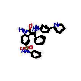 O=C1Nc2ccc(S(=O)(=O)Nc3ccccc3)cc2/C1=C(/Nc1ccc(-c2ccccn2)cc1)c1ccccc1